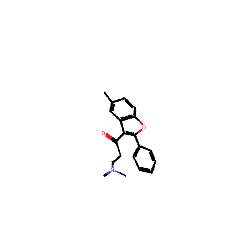 Cc1ccc2oc(-c3ccccc3)c(C(=O)CCN(C)C)c2c1